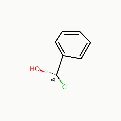 O[C@@H](Cl)c1ccccc1